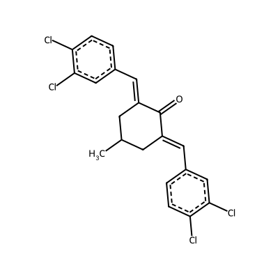 CC1C/C(=C\c2ccc(Cl)c(Cl)c2)C(=O)/C(=C/c2ccc(Cl)c(Cl)c2)C1